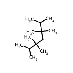 CC(C)C(C)(C)[C]C(C)(C)C(C)C